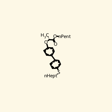 CCCCCCCSc1ccc(-c2ccc(O[C@H](C)C(=O)OCCCCC)cc2)cc1